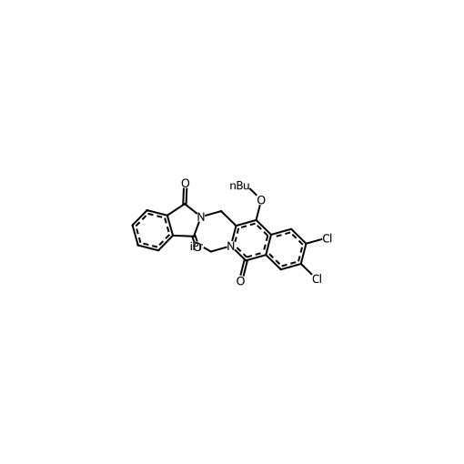 CCCCOc1c(CN2C(=O)c3ccccc3C2=O)n(CC(C)C)c(=O)c2cc(Cl)c(Cl)cc12